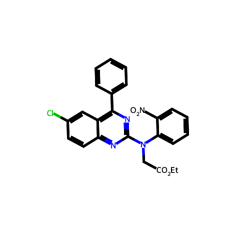 CCOC(=O)CN(c1nc(-c2ccccc2)c2cc(Cl)ccc2n1)c1ccccc1[N+](=O)[O-]